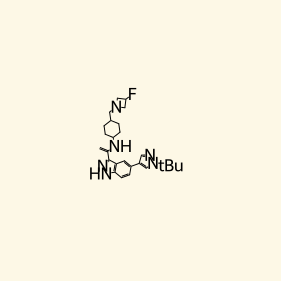 C=C(NC1CCC(CN2CC(F)C2)CC1)c1n[nH]c2ccc(-c3cnn(C(C)(C)C)c3)cc12